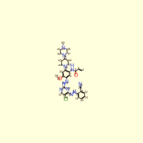 C=CC(=O)Nc1cc(N=Nc2ncc(Cl)c(N=Nc3ccccc3C#N)n2)c(OC)cc1N1CCC(N2CCN(C)CC2)CC1